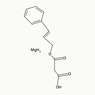 O=C(O)CC(=O)OCC=Cc1ccccc1.[MgH2]